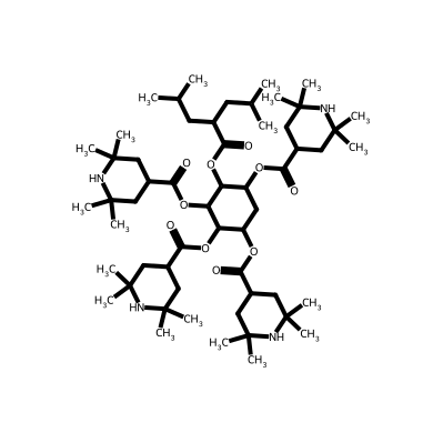 CC(C)CC(CC(C)C)C(=O)OC1C(OC(=O)C2CC(C)(C)NC(C)(C)C2)CC(OC(=O)C2CC(C)(C)NC(C)(C)C2)C(OC(=O)C2CC(C)(C)NC(C)(C)C2)C1OC(=O)C1CC(C)(C)NC(C)(C)C1